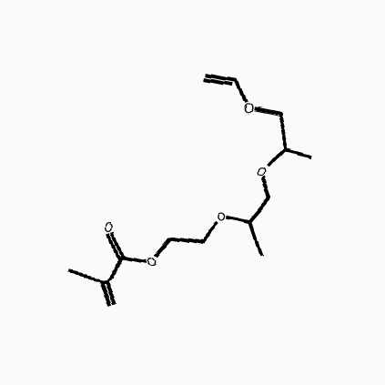 C=COCC(C)OCC(C)OCCOC(=O)C(=C)C